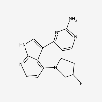 Nc1nccc(-c2c[nH]c3nccc(N4CCC(F)C4)c23)n1